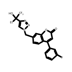 CCC(O)(c1cn(Cc2ccc3c(-c4cccc(F)c4)cc(=O)oc3c2)nn1)C(F)(F)F